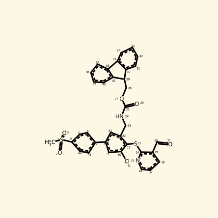 CS(=O)(=O)c1ccc(-c2cc(Cl)c(Sc3ncccc3C=O)c(CNC(=O)OCC3c4ccccc4-c4ccccc43)c2)cc1